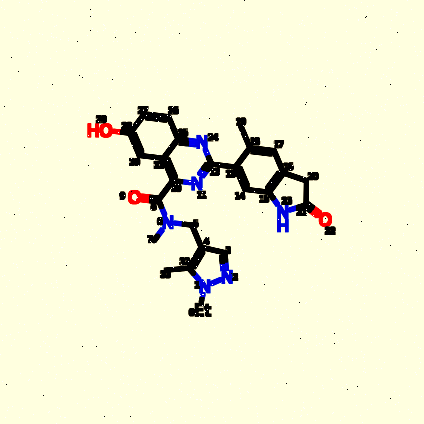 CCn1ncc(CN(C)C(=O)c2nc(-c3cc4c(cc3C)CC(=O)N4)nc3ccc(O)cc23)c1C